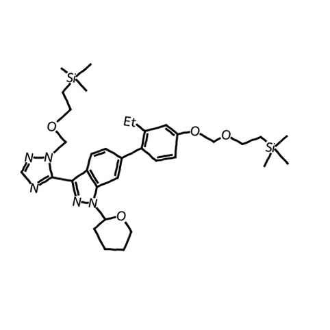 CCc1cc(OCOCC[Si](C)(C)C)ccc1-c1ccc2c(-c3ncnn3COCC[Si](C)(C)C)nn(C3CCCCO3)c2c1